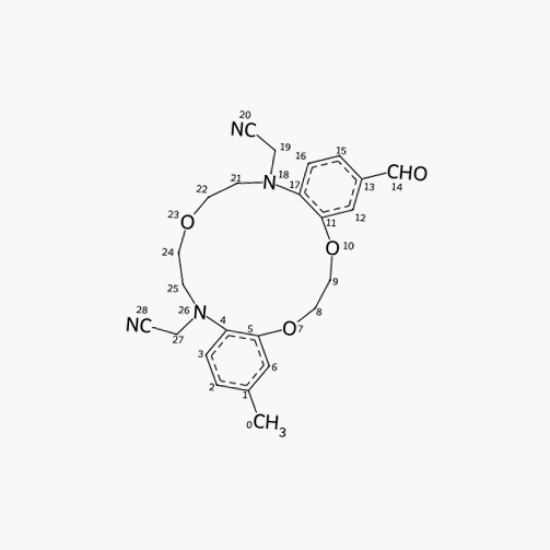 Cc1ccc2c(c1)OCCOc1cc(C=O)ccc1N(CC#N)CCOCCN2CC#N